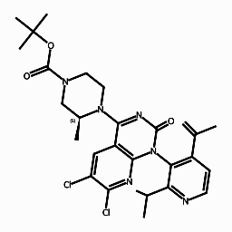 C=C(C)c1ccnc(C(C)C)c1-n1c(=O)nc(N2CCN(C(=O)OC(C)(C)C)C[C@@H]2C)c2cc(Cl)c(Cl)nc21